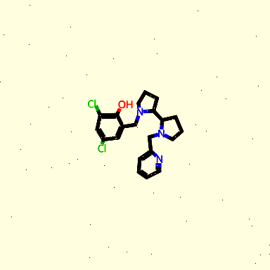 Oc1c(Cl)cc(Cl)cc1CN1CCCC1C1CCCN1Cc1ccccn1